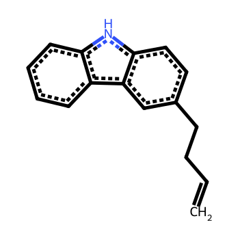 C=CCCc1ccc2[nH]c3ccccc3c2c1